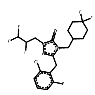 O=c1n(CC(F)C(F)F)nc(Cc2c(F)cccc2Cl)n1CC1CCC(F)(F)CC1